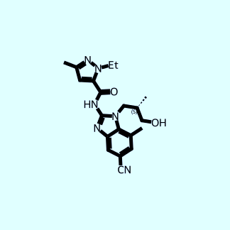 CCn1nc(C)cc1C(=O)Nc1nc2cc(C#N)cc(C)c2n1C[C@H](C)CO